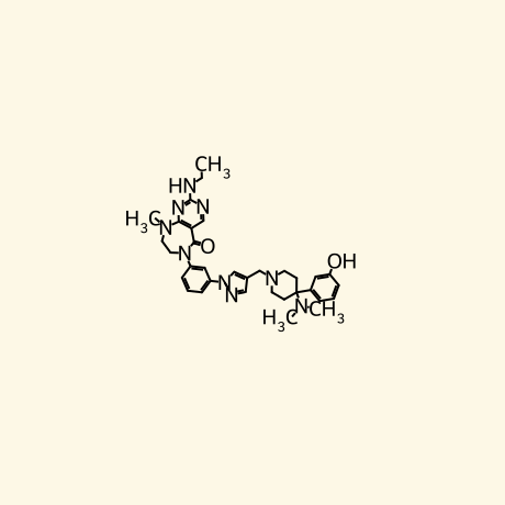 CCNc1ncc2c(n1)N(C)CCN(c1cccc(-n3cc(CN4CCC(c5cccc(O)c5)(N(C)C)CC4)cn3)c1)C2=O